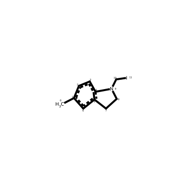 Cc1ccc2c(c1)CCN2CI